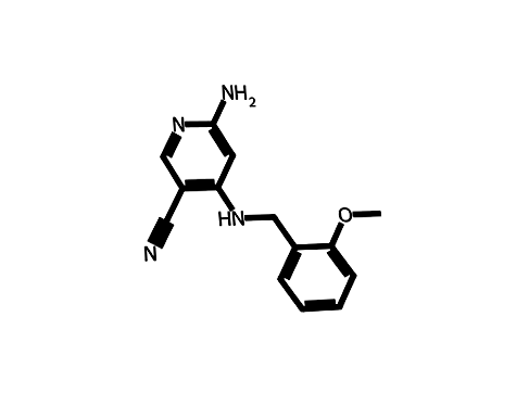 COc1ccccc1CNc1cc(N)ncc1C#N